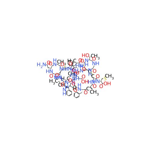 C/C=C1\CC(=O)[C@H](Cc2ccccc2)NC(=O)[C@@H]2CCCN2C(=O)[C@H](C(C)C)NC(=O)[C@H](Cc2c[nH]c3ccccc23)NC(=O)[C@]2(CSC[C@@H](C(=O)N[C@@H](CSC)C(=O)O)NC1=O)C[C@H](NC(=O)[C@@H](C)CC(=O)[C@@H]1CSC[C@]3(C[C@H](N)C(=O)N[C@@H](CC(N)=O)C(=O)N[C@@H](C)C(=O)N3)C(=O)N[C@@H](C(C)C)C(=O)N[C@@H](Cc3c[nH]c4ccccc34)C(=O)N[C@@H](CCC(=O)O)C(=O)N1)C(=O)N[C@@H]([C@@H](C)O)C(=O)NCC(=O)N2